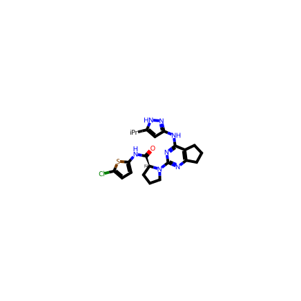 CC(C)c1cc(Nc2nc(N3CCC[C@H]3C(=O)Nc3ccc(Cl)s3)nc3c2CCC3)n[nH]1